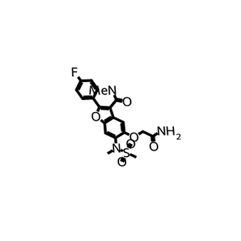 CNC(=O)c1c(-c2ccc(F)cc2)oc2cc(N(C)S(C)(=O)=O)c(OCC(N)=O)cc12